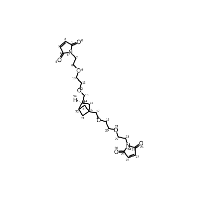 O=C1C=CC(=O)N1CCOCCOC[C@H]1CC2(COCCOCCN3C(=O)C=CC3=O)CC1C2